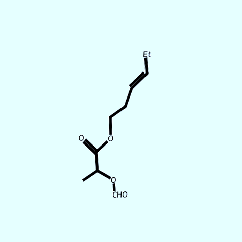 CCC=CCCOC(=O)C(C)OC=O